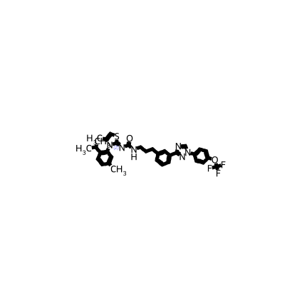 Cc1ccc(C(C)C)c(-n2c(C)cs/c2=N\C(=O)NCCCc2cccc(-c3ncn(-c4ccc(OC(F)(F)F)cc4)n3)c2)c1